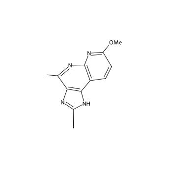 COc1ccc2c(n1)nc(C)c1nc(C)[nH]c12